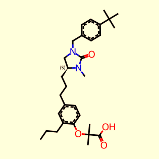 CCCc1cc(CCC[C@H]2CN(Cc3ccc(C(C)(C)C)cc3)C(=O)N2C)ccc1OC(C)(C)C(=O)O